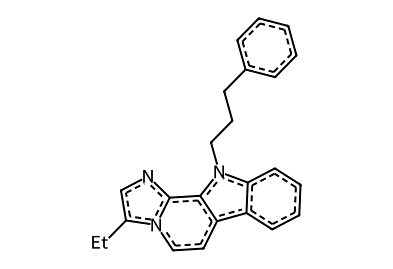 CCc1cnc2c3c(ccn12)c1ccccc1n3CCCc1ccccc1